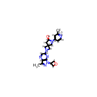 Cc1nn(C2COC2)c2nc(N3CC4(CC(=O)N(c5ccnc(C(F)(F)F)c5)C4)C3)cnc12